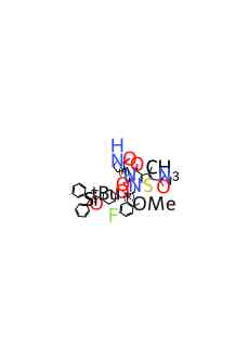 COc1ccc(F)cc1[C@H](Cn1c(=O)n([C@@H]2CCNC2=O)c(=O)c2c(C)c(-c3ncco3)sc21)O[C@H]1CC[C@@H](O[Si](c2ccccc2)(c2ccccc2)C(C)(C)C)CC1